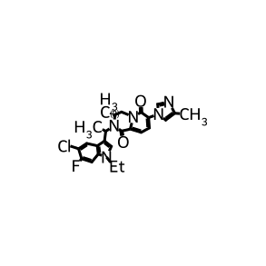 CCn1cc(C(C)N2C(=O)c3ccc(-n4cnc(C)c4)c(=O)n3C[C@H]2C)c2cc(Cl)c(F)cc21